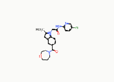 O=C(Cn1c(C(=O)O)cc2cc(C(=O)N3CCCOCC3)ccc21)Nc1ccc(Cl)cn1